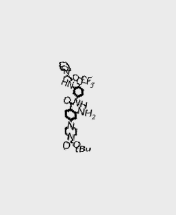 CC(C(=O)Nc1cc(NC(=O)c2ccc(N3CCN(C(=O)OC(C)(C)C)CC3)cc2N)ccc1OC(F)(F)F)N1CC2CCC(C1)O2